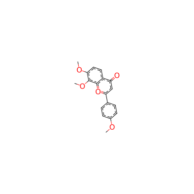 COc1ccc(-c2cc(=O)c3ccc(OC)c(OC)c3o2)cc1